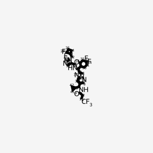 O=C(CCC(F)(F)F)NC(c1cnn2cc([C@@H](NC(=O)c3cnnn3CC3CCC3(F)F)C3CCC(F)(F)CC3)nc2c1)C1CC1